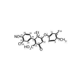 CCn1c(Oc2ccc(C)c(F)c2)cc(=O)c(C(=O)O)c1-c1ccc(C#N)c(Cl)c1